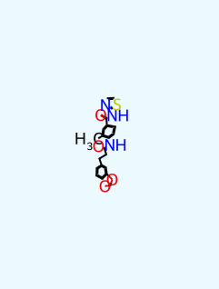 Cc1cc(C(=O)Nc2nccs2)ccc1NC(=O)CCc1ccc2c(c1)OCO2